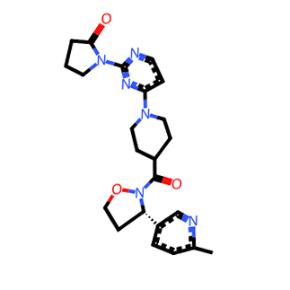 Cc1ccc([C@@H]2CCON2C(=O)C2CCN(c3ccnc(N4CCCC4=O)n3)CC2)cn1